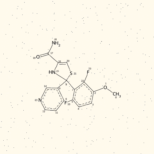 COc1ccc(F)c(C2(c3cccnc3)NC(C(N)=O)=CS2)c1F